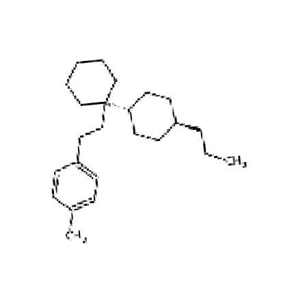 CCC[C@H]1CC[C@H](C2(CCc3ccc(C)cc3)CCCCC2)CC1